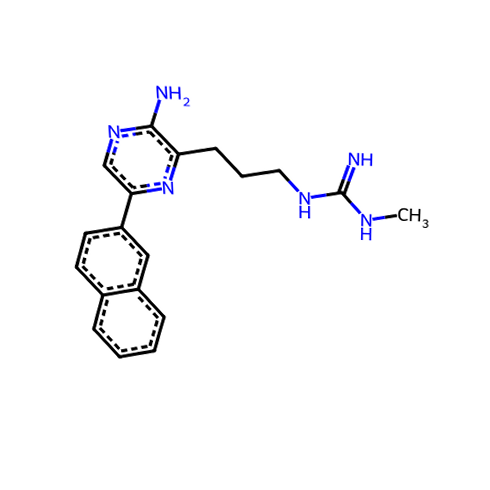 CNC(=N)NCCCc1nc(-c2ccc3ccccc3c2)cnc1N